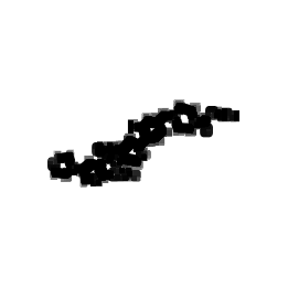 COc1ncc(N2CCOCC2)cc1S(=O)(=O)Nc1ccnc(-c2ccc(CN3CCN(C(=O)OC(C)(C)C)CC3)cc2F)c1